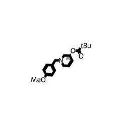 COc1ccc(CN2CC=C[C@@H](OC(=O)C(C)(C)C)C2)cc1